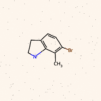 Cc1c(Br)ccc2c1[N]CC2